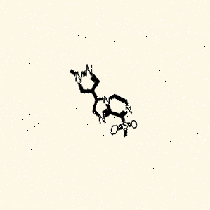 CN1CC(C2CN=C3C(S(C)(=O)=O)=NC=CN32)C=N1